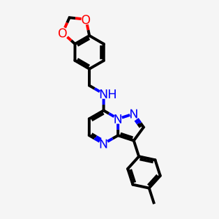 Cc1ccc(-c2cnn3c(NCc4ccc5c(c4)OCO5)ccnc23)cc1